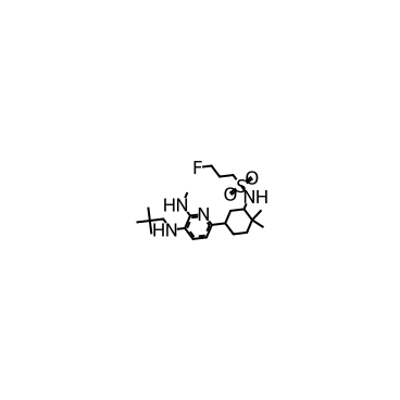 CNc1nc(C2CCC(C)(C)C(NS(=O)(=O)CCCF)C2)ccc1NCC(C)(C)C